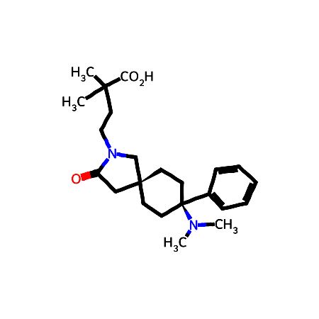 CN(C)[C@]1(c2ccccc2)CC[C@@]2(CC1)CC(=O)N(CCC(C)(C)C(=O)O)C2